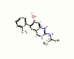 Cc1ccccc1-c1cc2cnc(NC(C)C(C)C)nc2cc1O